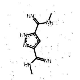 CNC(=N)c1cc(C(=N)NC)[nH]n1